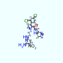 Nc1nc(NCCCn2ccc(-c3ccc(Cl)cc3Cl)c2C(=O)NCc2cccnc2)ccc1[N+](=O)[O-]